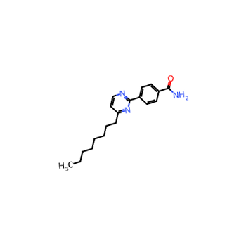 CCCCCCCCc1ccnc(-c2ccc(C(N)=O)cc2)n1